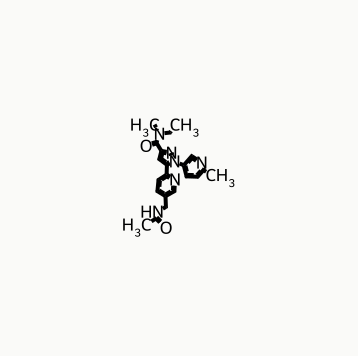 CCN(C)C(=O)c1cc(-c2ccc(CNC(C)=O)cn2)n(-c2ccc(C)nc2)n1